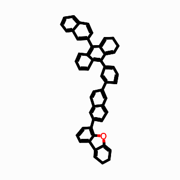 C1=c2oc3c(-c4ccc5cc(-c6cccc(-c7c8c(c(-c9ccc%10ccccc%10c9)c9ccccc79)=CCCC=8)c6)ccc5c4)cccc3c2=CCC1